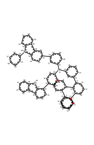 c1ccc(-c2ccccc2-c2c(-c3ccccc3)cccc2-c2cccc(N(c3ccc(-c4cccc5c4oc4ccccc45)cc3)c3cccc(-c4ccc5c(c4)c4ccccc4n5-c4ccccc4)c3)c2)cc1